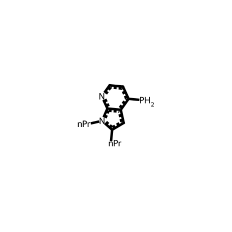 CCCc1cc2c(P)ccnc2n1CCC